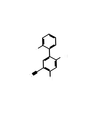 N#Cc1cc(-c2ccccc2F)c(O)cc1Cl